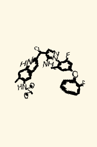 Cc1cc2[nH]c(C(=O)c3cnn(-c4c(C)cc(Oc5ccccc5F)cc4F)c3N)cc2cc1NS(C)(=O)=O